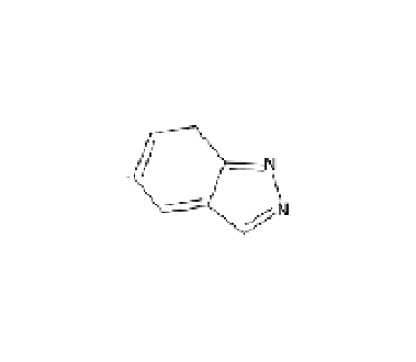 [C]1=CCC2=NN=CC2=C1